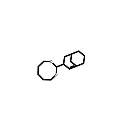 C1=C2CCCC(C2)CC1C1OCCCCCO1